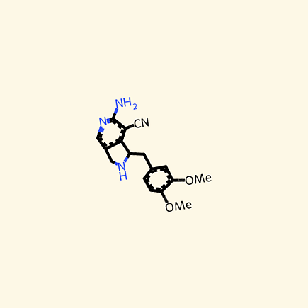 COc1ccc(CC2NCc3cnc(N)c(C#N)c32)cc1OC